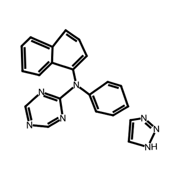 c1c[nH]nn1.c1ccc(N(c2ncncn2)c2cccc3ccccc23)cc1